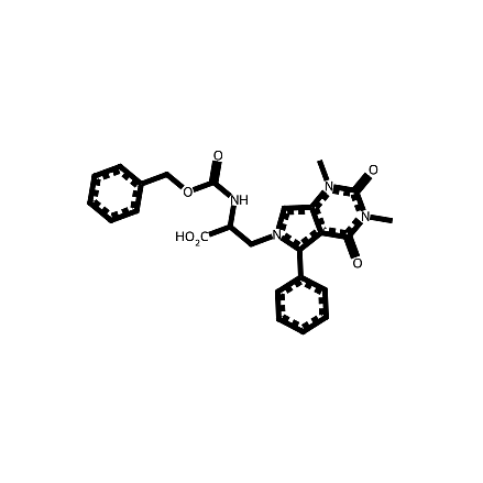 Cn1c(=O)c2c(-c3ccccc3)n(CC(NC(=O)OCc3ccccc3)C(=O)O)cc2n(C)c1=O